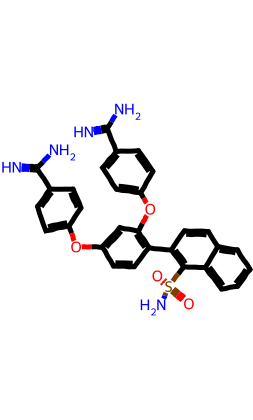 N=C(N)c1ccc(Oc2ccc(-c3ccc4ccccc4c3S(N)(=O)=O)c(Oc3ccc(C(=N)N)cc3)c2)cc1